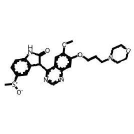 COc1cc2c(C3C(=O)Nc4ccc([S+](C)[O-])cc43)ncnc2cc1OCCCN1CCOCC1